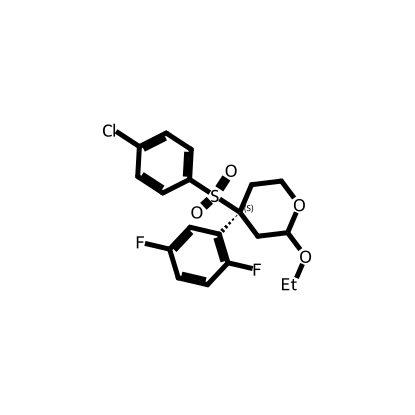 CCOC1C[C@@](c2cc(F)ccc2F)(S(=O)(=O)c2ccc(Cl)cc2)CCO1